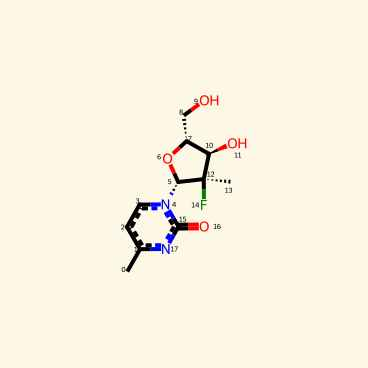 Cc1ccn([C@@H]2O[C@H](CO)[C@@H](O)[C@@]2(C)F)c(=O)n1